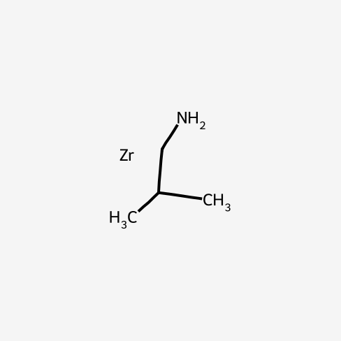 CC(C)CN.[Zr]